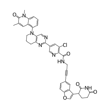 Cc1cc2c(N3CCCc4nc(-c5cnc(C(=O)NCC#Cc6ccc7occ(C8CCC(=O)NC8=O)c7c6)c(Cl)c5)ncc43)cccc2n(C)c1=O